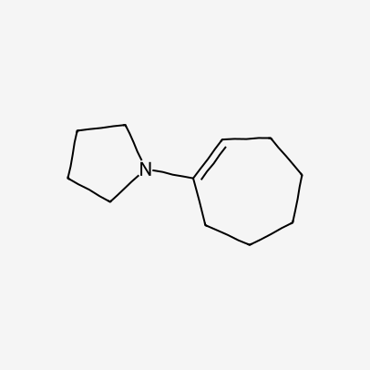 C1=C(N2CCCC2)CCCCC1